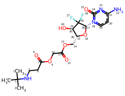 CC(C)(C)NCCC(=O)OCC(=O)OC[C@H]1O[C@@H](n2ccc(N)nc2=O)C(F)(F)[C@@H]1O